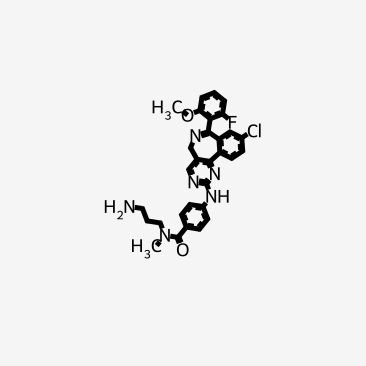 COc1cccc(F)c1C1=NCc2cnc(Nc3ccc(C(=O)N(C)CCCN)cc3)nc2-c2ccc(Cl)cc21